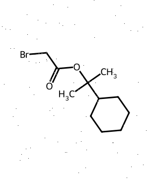 CC(C)(OC(=O)CBr)C1CCCCC1